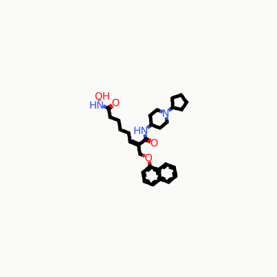 O=C(CCCCC=C(COc1cccc2ccccc12)C(=O)NC1CCN(C2CCCC2)CC1)NO